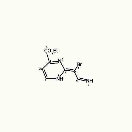 CCOC(=O)C1=N/C(=C(\Br)C=N)NC=C1